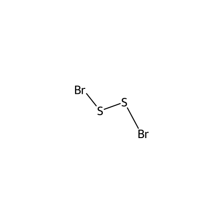 BrSSBr